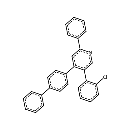 Clc1ccccc1-c1cnc(-c2ccccc2)cc1-c1ccc(-c2ccccc2)cc1